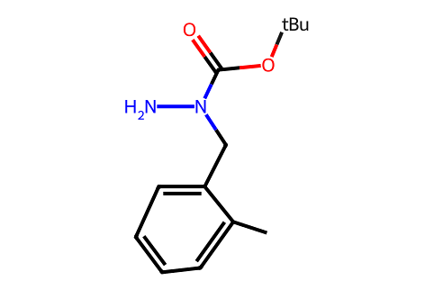 Cc1ccccc1CN(N)C(=O)OC(C)(C)C